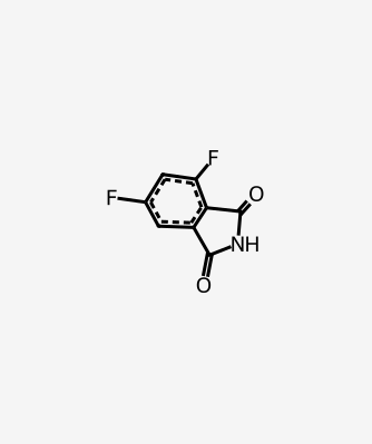 O=C1NC(=O)c2c(F)cc(F)cc21